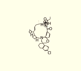 CCC(=O)N[SH]1(=O)C[C@@H](C)C/C=C/[C@H](OC)[C@@H]2CC[C@H]2CN2C[C@@]3(CCCc4cc(Cl)ccc43)COc3ccc(cc32)C(=O)N1